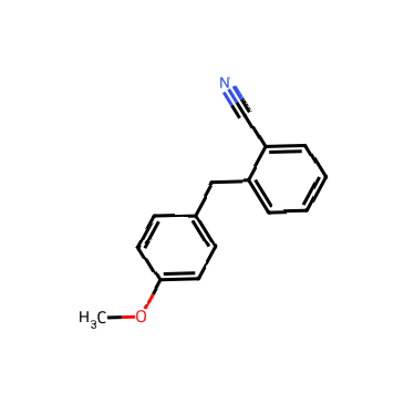 COc1ccc(Cc2ccccc2C#N)cc1